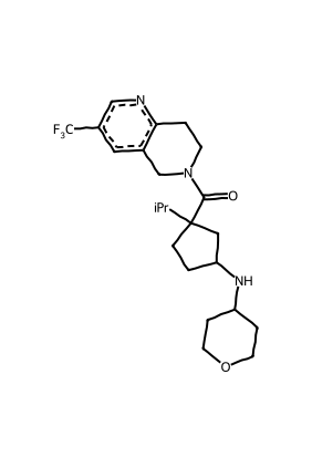 CC(C)C1(C(=O)N2CCc3ncc(C(F)(F)F)cc3C2)CCC(NC2CCOCC2)C1